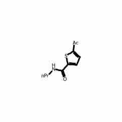 CCCNC(=O)c1ccc(C(C)=O)s1